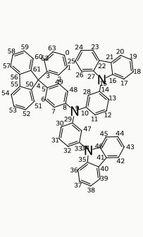 c1ccc(C2(c3ccc(N(c4cccc(-n5c6ccccc6c6ccccc65)c4)c4cccc(-n5c6ccccc6c6ccccc65)c4)cc3)c3ccccc3-c3ccccc32)cc1